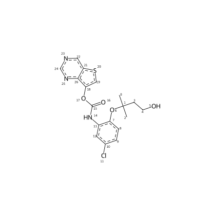 CC(C)(CCO)Oc1ccc(Cl)cc1NC(=O)Oc1csc2cncnc12